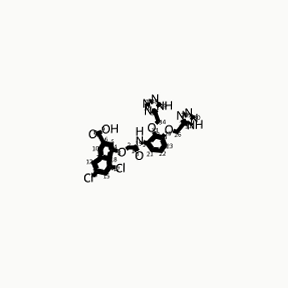 O=C(COc1cc(C(=O)O)cc2cc(Cl)cc(Cl)c12)Nc1cccc(OCc2nnn[nH]2)c1OCc1nnn[nH]1